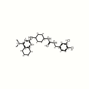 CN(C)c1nc(NC2CCC(NC(=O)NCc3ccc(Cl)c(Cl)c3)CC2)nc2c1CCCC2